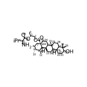 CC(COC(=O)[C@]12CC[C@@H](C)[C@H](C)[C@H]1C1=CC[C@@H]3[C@@]4(C)CC[C@H](O)C(C)(C)C4CC[C@@]3(C)[C@]1(C)CC2)OC(=O)[C@@H](N)C(C)C